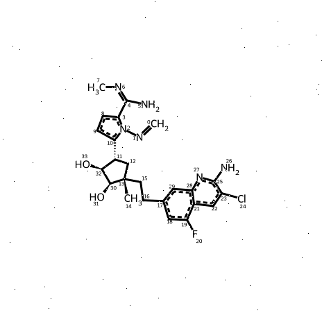 C=Nn1c(/C(N)=N\C)ccc1[C@@H]1C[C@](C)(CCc2cc(F)c3cc(Cl)c(N)nc3c2)[C@@H](O)[C@H]1O